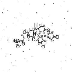 C[C@@H](Cn1c(=O)cc(Nc2ccc(Oc3cncc(Cl)c3)cc2)n(Cc2ccc(Cl)cc2)c1=O)C(=O)N[S+](C)[O-]